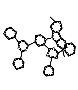 Cc1ccc2c3ccc(C)cc3n(-c3ccc(-c4cc(-c5ccccc5)nc(-c5ccccc5)n4)cc3-c3nc(-c4ccccc4)cc(-c4ccccc4)n3)c2c1